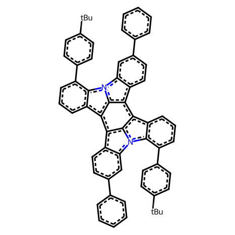 CC(C)(C)c1ccc(-c2cccc3c4c5c6ccc(-c7ccccc7)cc6n6c7c(-c8ccc(C(C)(C)C)cc8)cccc7c(c7c8ccc(-c9ccccc9)cc8n(c23)c74)c56)cc1